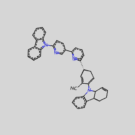 N#CC1=C[C@H](c2cccc(-c3ccc(-n4c5ccccc5c5ccccc54)nc3)n2)CC=C1N1c2ccccc2C2CCC=CC21